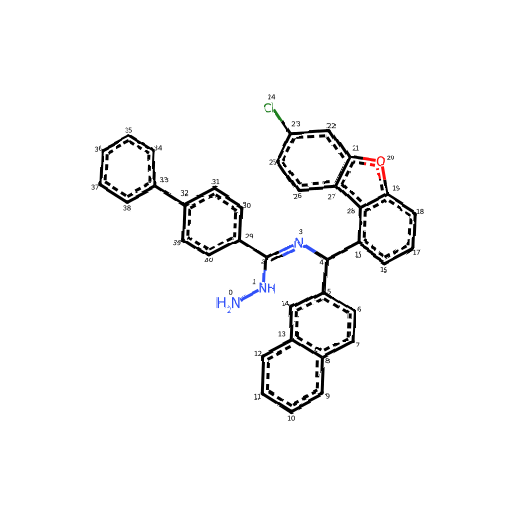 NN/C(=N\C(c1ccc2ccccc2c1)c1cccc2oc3cc(Cl)ccc3c12)c1ccc(-c2ccccc2)cc1